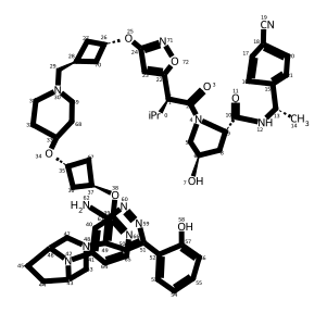 CC(C)[C@H](C(=O)N1C[C@H](O)C[C@H]1C(=O)N[C@@H](C)c1ccc(C#N)cc1)c1cc(O[C@H]2C[C@H](CN3CCC(O[C@H]4C[C@H](Oc5cc(N6C7CCC6CN(c6cc(-c8ccccc8O)nnc6N)C7)ccn5)C4)CC3)C2)no1